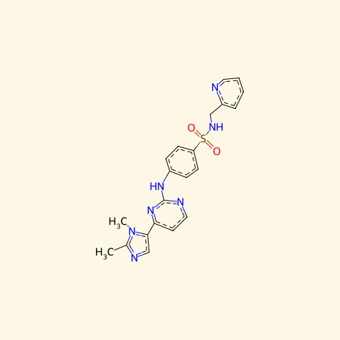 Cc1ncc(-c2ccnc(Nc3ccc(S(=O)(=O)NCc4ccccn4)cc3)n2)n1C